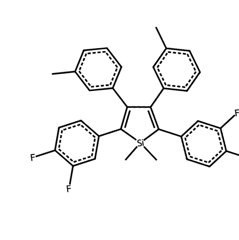 Cc1cccc(C2=C(c3ccc(F)c(F)c3)[Si](C)(C)C(c3ccc(F)c(F)c3)=C2c2cccc(C)c2)c1